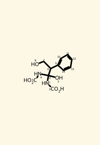 O=C(O)NC(O)(NC(=O)O)C(CO)c1ccccc1